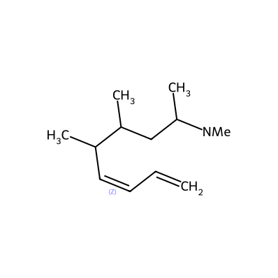 C=C/C=C\C(C)C(C)CC(C)NC